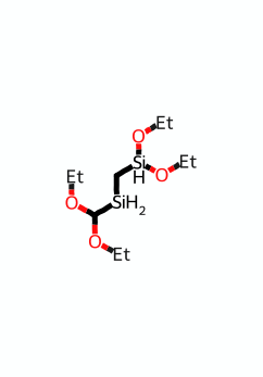 CCOC(OCC)[SiH2]C[SiH](OCC)OCC